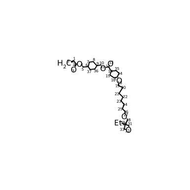 C=CC(=O)OCC1CCC(COC(=O)C2CCC(OCCCCCCCCOCC3(CC)COC3)CC2)CC1